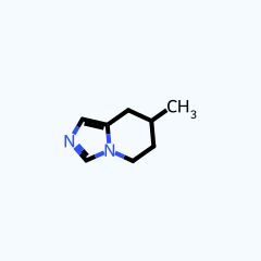 CC1CCn2cncc2C1